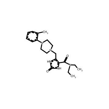 CCN(CC)C(=O)c1[nH]c(=O)[nH]c1CN1CCN(c2ccccc2C)CC1